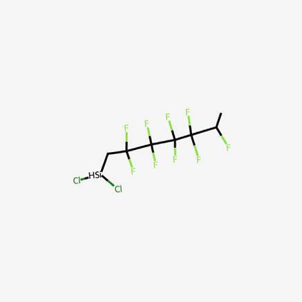 CC(F)C(F)(F)C(F)(F)C(F)(F)C(F)(F)C[SiH](Cl)Cl